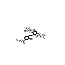 COC(=O)c1ccc(CCc2cc(O[Si](C)(C)C(C)(C)C)ccc2O[Si](C)(C)C(C)(C)C)c(Br)c1